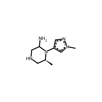 C[C@H]1CNCC(N)N1c1cnn(C)c1